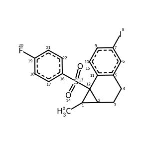 CC1C2CCc3cc(I)ccc3C12S(=O)(=O)c1ccc(F)cc1